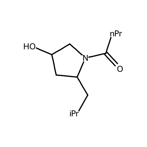 CCCC(=O)N1CC(O)CC1CC(C)C